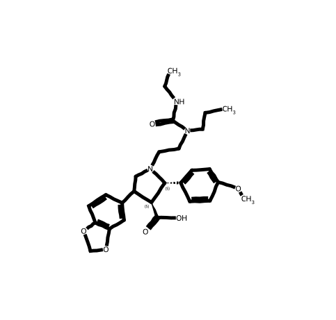 CCCN(CCN1CC(c2ccc3c(c2)OCO3)[C@H](C(=O)O)[C@H]1c1ccc(OC)cc1)C(=O)NCC